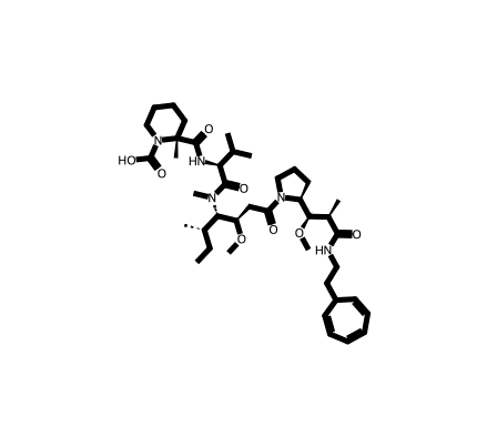 CC[C@H](C)[C@@H]([C@@H](CC(=O)N1CCC[C@H]1[C@H](OC)[C@@H](C)C(=O)NCCC1C=CC=CC=C1)OC)N(C)C(=O)[C@@H](NC(=O)[C@@]1(C)CCCCN1C(=O)O)C(C)C